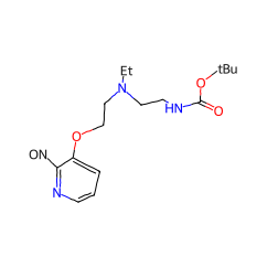 CCN(CCNC(=O)OC(C)(C)C)CCOc1cccnc1N=O